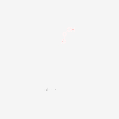 CCCCCCCCCCCCSOOO